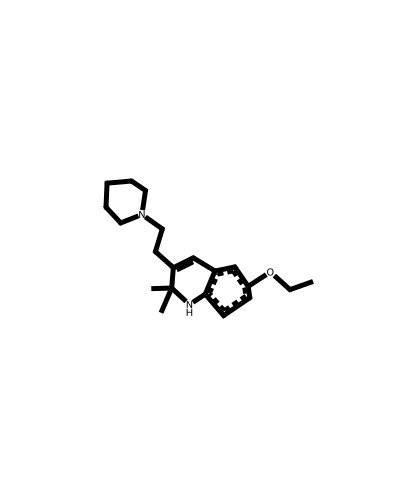 CCOc1ccc2c(c1)C=C(CCN1CCCCC1)C(C)(C)N2